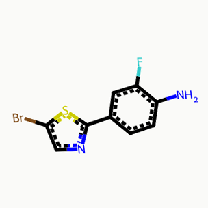 Nc1ccc(-c2ncc(Br)s2)cc1F